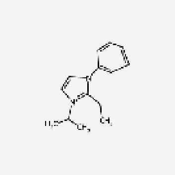 CCc1n(-c2ccccc2)cc[n+]1C(C)C